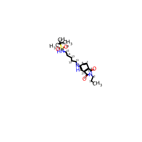 CCCN1C(=O)c2ccc(NCCCCCNS(=O)(=O)C(C)(C)C)cc2C1=O